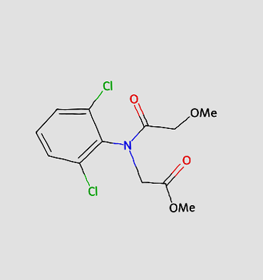 COCC(=O)N(CC(=O)OC)c1c(Cl)cccc1Cl